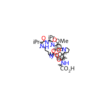 CC[C@H](C)[C@@H]([C@@H](CC(=O)N1CCC[C@H]1[C@H](OC)[C@@H](C)C(=O)N[C@@H](C)C(=O)O)OC)N(C)C(=O)[C@@H](NC(=O)[C@H](C(C)C)N(C)CCCCN(C)C(=O)OC(C)(C)C)C(C)C